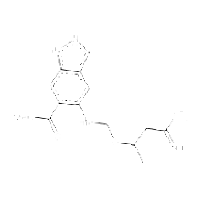 COC(=O)c1cc2[nH]ncc2cc1NCOC(C)CC(=N)C(F)(F)F